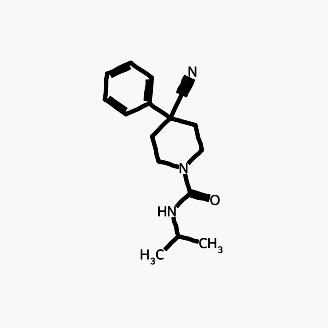 CC(C)NC(=O)N1CCC(C#N)(c2ccccc2)CC1